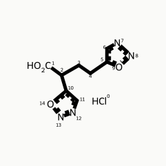 Cl.O=C(O)C(CCc1cnno1)c1cnno1